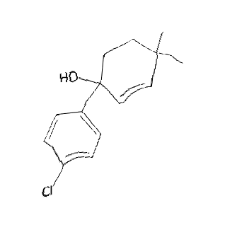 CC1(C)C=CC(O)(c2ccc(Cl)cc2)CC1